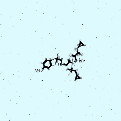 CCC[C@H](NC(=O)[C@H](CC(F)(F)CC1CC1)NCC(F)(F)Oc1ccc(SC)cc1)C(=O)C(=O)NC1CC1